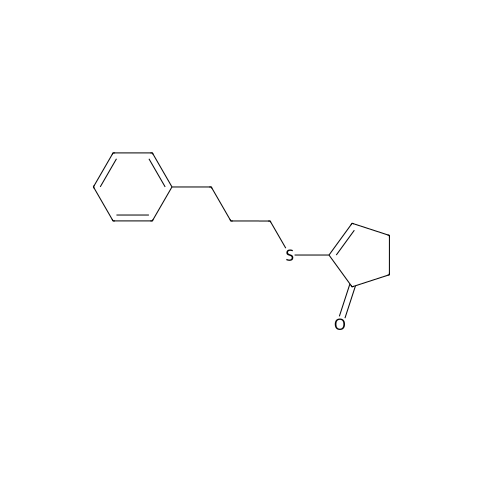 O=C1CCC=C1SCCCc1ccccc1